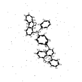 c1ccc(N(c2ccc(-c3ccc4c5c(cccc35)Oc3ccccc3-4)cc2)c2cccc3c2oc2ccccc23)cc1